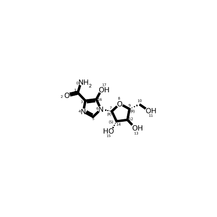 NC(=O)c1ncn([C@@H]2O[C@H](CO)C(O)[C@@H]2O)c1O